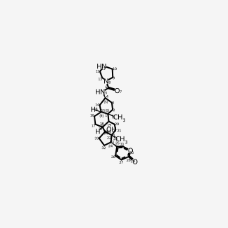 C[C@]12CC[C@H](NC(=O)N3CCNCC3)C[C@H]1CC[C@@H]1C2CC[C@]2(C)[C@@H](c3ccc(=O)oc3)CC[C@]12O